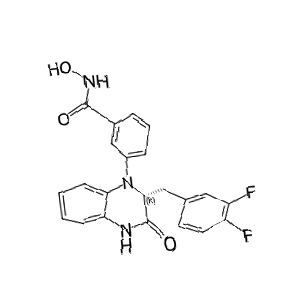 O=C(NO)c1cccc(N2c3ccccc3NC(=O)[C@H]2Cc2ccc(F)c(F)c2)c1